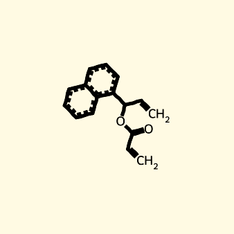 C=CC(=O)OC(C=C)c1cccc2ccccc12